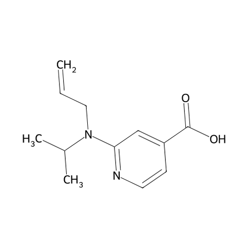 C=CCN(c1cc(C(=O)O)ccn1)C(C)C